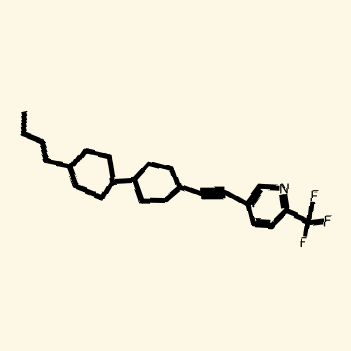 CCCCC1CCC(C2CCC(C#Cc3ccc(C(F)(F)F)nc3)CC2)CC1